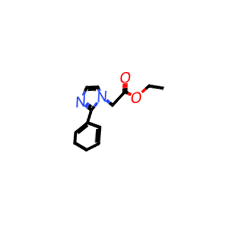 CCOC(=O)Cn1ccnc1C1=CCCC=C1